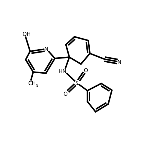 Cc1cc(O)nc(C2(NS(=O)(=O)c3ccccc3)C=CC=C(C#N)C2)c1